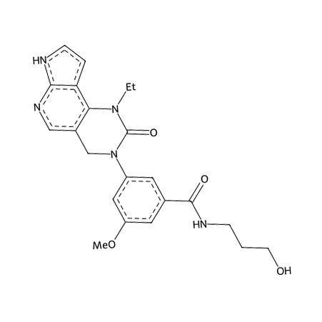 CCN1C(=O)N(c2cc(OC)cc(C(=O)NCCCO)c2)Cc2cnc3[nH]ccc3c21